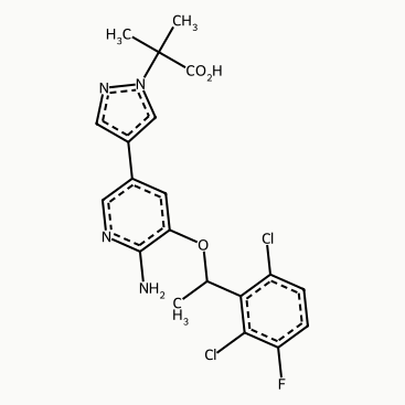 CC(Oc1cc(-c2cnn(C(C)(C)C(=O)O)c2)cnc1N)c1c(Cl)ccc(F)c1Cl